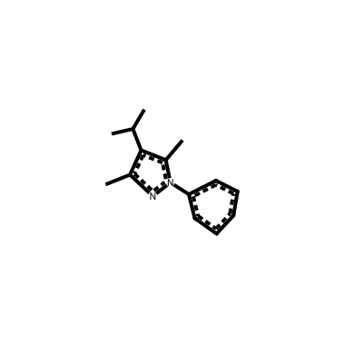 Cc1nn(-c2ccccc2)c(C)c1C(C)C